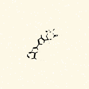 COc1ncnc2cc(-c3cc(Cl)c([C@]4(C)CS(=O)(=O)N(C)C(=N)N4)s3)[nH]c12